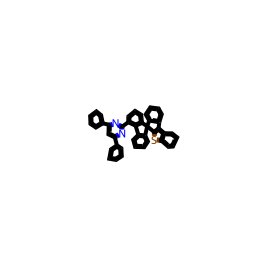 c1ccc(-c2cc(-c3ccccc3)nc(-c3cccc4c3-c3ccccc3C43c4ccccc4-c4c3sc3ccccc43)n2)cc1